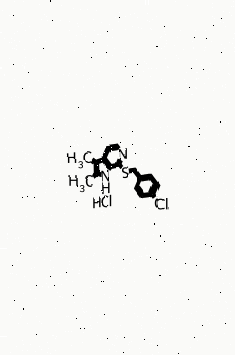 Cc1[nH]c2c(SCc3ccc(Cl)cc3)nccc2c1C.Cl